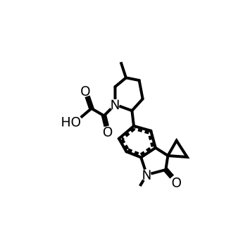 CC1CCC(c2ccc3c(c2)C2(CC2)C(=O)N3C)N(C(=O)C(=O)O)C1